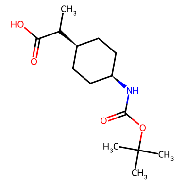 CC(C(=O)O)[C@H]1CC[C@@H](NC(=O)OC(C)(C)C)CC1